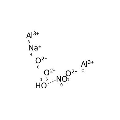 O=NO.[Al+3].[Al+3].[Na+].[O-2].[O-2].[O-2]